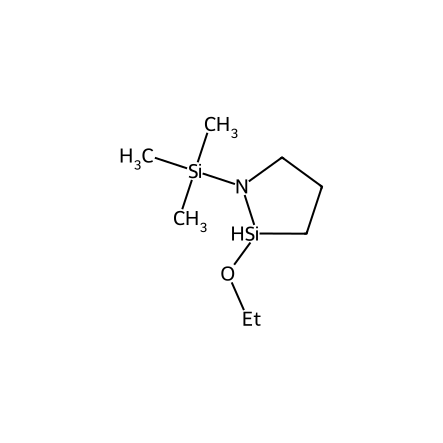 CCO[SiH]1CCCN1[Si](C)(C)C